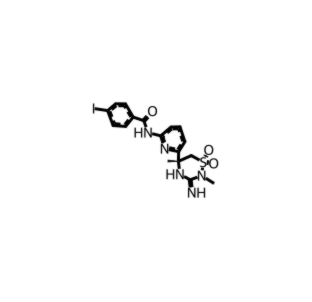 CN1C(=N)N[C@](C)(c2cccc(NC(=O)c3ccc(I)cc3)n2)CS1(=O)=O